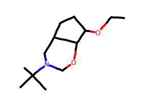 CCOC1CCC2CN(C(C)(C)C)COC21